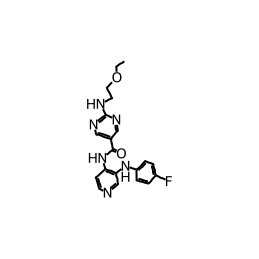 CCOCCNc1ncc(C(=O)Nc2ccncc2Nc2ccc(F)cc2)cn1